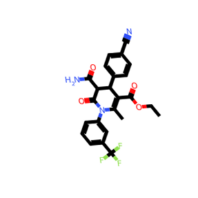 CCOC(=O)C1=C(C)N(c2cccc(C(F)(F)F)c2)C(=O)C(C(N)=O)C1c1ccc(C#N)cc1